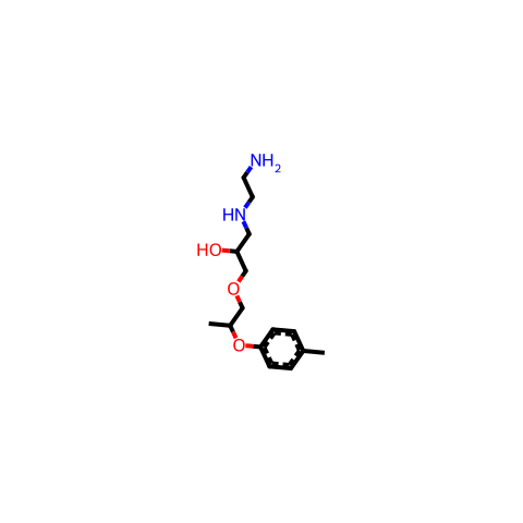 Cc1ccc(OC(C)COCC(O)CNCCN)cc1